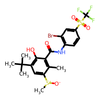 Cc1c([S+](C)[O-])cc(C(C)(C)C)c(O)c1C(=O)Nc1ccc(S(=O)(=O)C(F)(F)F)cc1Br